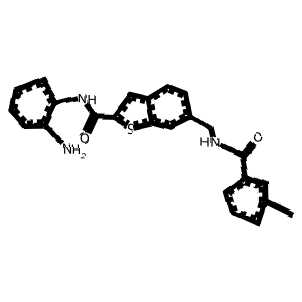 Cc1cccc(C(=O)NCc2ccc3cc(C(=O)Nc4ccccc4N)sc3c2)c1